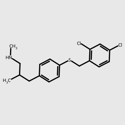 CNCC(C)Cc1ccc(SCc2ccc(Cl)cc2Cl)cc1